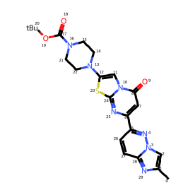 Cc1cn2nc(-c3cc(=O)n4cc(N5CCN(C(=O)OC(C)(C)C)CC5)sc4n3)ccc2n1